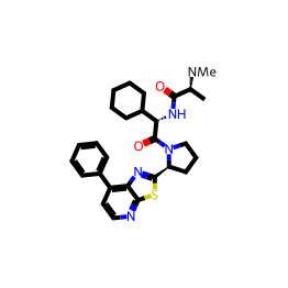 CN[C@@H](C)C(=O)N[C@H](C(=O)N1CCC[C@H]1c1nc2c(-c3ccccc3)ccnc2s1)C1CCCCC1